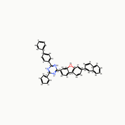 c1ccc(-c2ccc(-c3nc(-c4ccccc4)nc(-c4ccc5c(c4)oc4cc(-c6ccc7ccccc7c6)ccc45)n3)cc2)cc1